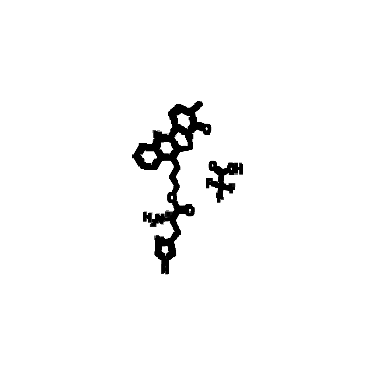 Cc1ccc2n(c1=O)Cc1c-2nc2ccccc2c1CCCOC(=O)[C@@H](N)Cc1c[nH]cn1.O=C(O)C(F)(F)F